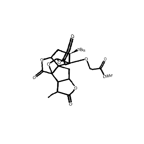 CCCC[C@@H]1CC2OC(=O)C34OC5OC(=O)C(OCC(=O)OC)C51C23CC1OC(=O)C(C)C14